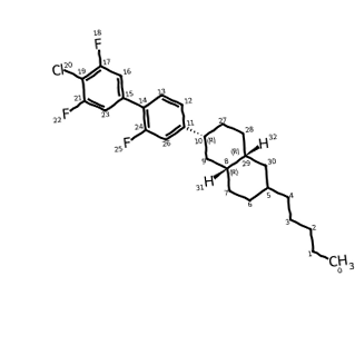 CCCCCC1CC[C@@H]2C[C@H](c3ccc(-c4cc(F)c(Cl)c(F)c4)c(F)c3)CC[C@@H]2C1